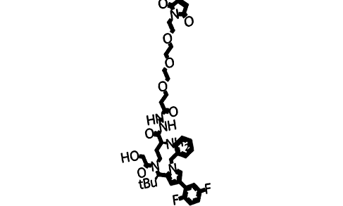 CC(C)(C)[C@H](c1cc(-c2cc(F)ccc2F)cn1Cc1ccccc1)N(CC[C@H](N)C(=O)NNC(=O)CCOCCOCCOCCN1C(=O)C=CC1=O)C(=O)CO